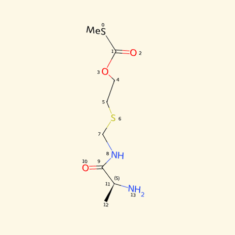 CSC(=O)OCCSCNC(=O)[C@H](C)N